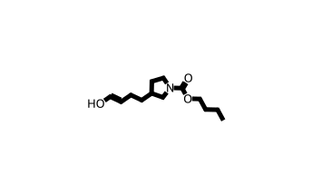 CCCCOC(=O)N1CCC(CCC=CO)C1